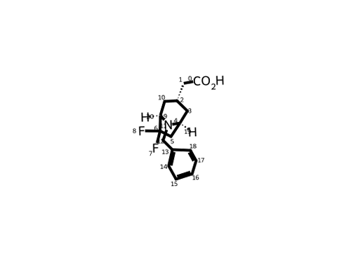 O=C(O)C[C@@H]1C[C@H]2CC(F)(F)[C@@H](C1)N2Cc1ccccc1